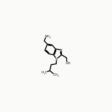 CC(C)CCn1c(CO)nc2cc(CN)ccc21